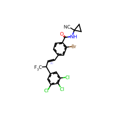 N#CC1(NC(=O)c2ccc(/C=C/C(c3cc(Cl)c(Cl)c(Cl)c3)C(F)(F)F)cc2Br)CC1